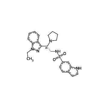 CCn1nc([C@@H](CNS(=O)(=O)c2ccc3cc[nH]c3c2)N2CCCC2)c2ccccc21